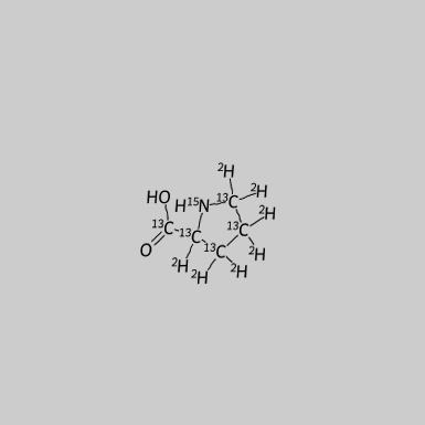 [2H][13C]1([2H])[15NH][13C]([2H])([13C](=O)O)[13C]([2H])([2H])[13C]1([2H])[2H]